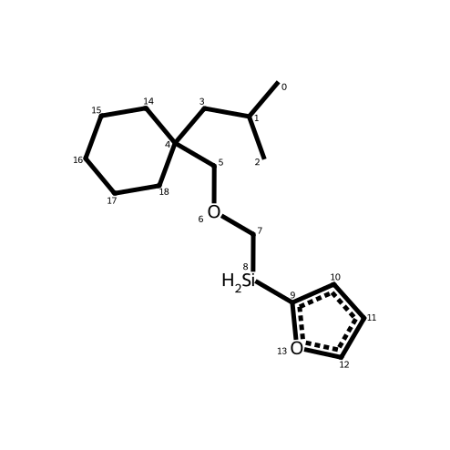 CC(C)CC1(COC[SiH2]c2ccco2)CCCCC1